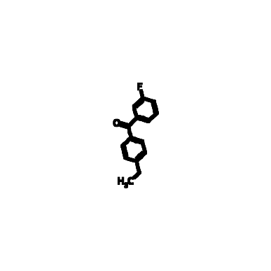 CCc1ccc(C(=O)c2cccc(F)c2)cc1